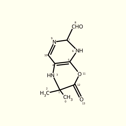 CC1(C)NC2=C(NC(C=O)N=C2)OC1=O